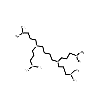 CN(C)CCCN(CCCCN(CCCN(C)C)CCCN(C)C)CCCN(C)C